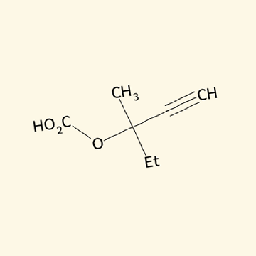 C#CC(C)(CC)OC(=O)O